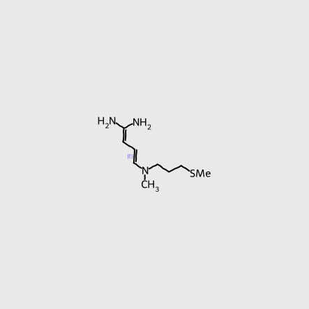 CSCCCN(C)/C=C/C=C(N)N